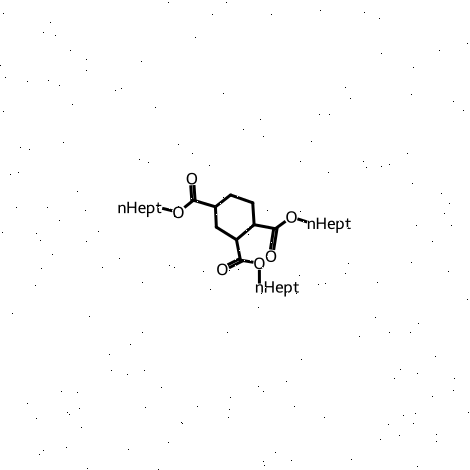 CCCCCCCOC(=O)C1CCC(C(=O)OCCCCCCC)C(C(=O)OCCCCCCC)C1